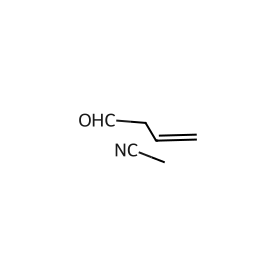 C=CCC=O.CC#N